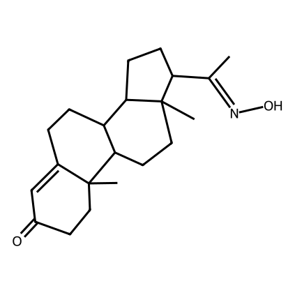 CC(=NO)C1CCC2C3CCC4=CC(=O)CCC4(C)C3CCC12C